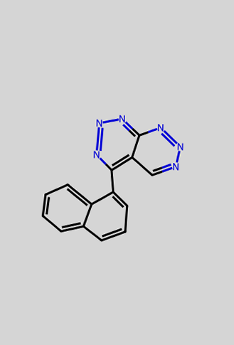 c1ccc2c(-c3nnnc4nnncc34)cccc2c1